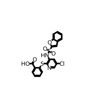 O=C(O)c1ccccc1Sc1ncc(Cl)cc1NS(=O)(=O)c1cc2ccccc2o1